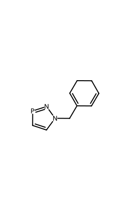 C1=CC(Cn2ccpn2)=CCC1